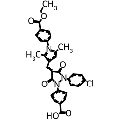 CCOC(=O)c1ccc(-n2c(C)cc(/C=C3\C(=O)N(c4ccc(Cl)cc4)N(c4ccc(C(=O)O)cc4)C3=O)c2C)cc1